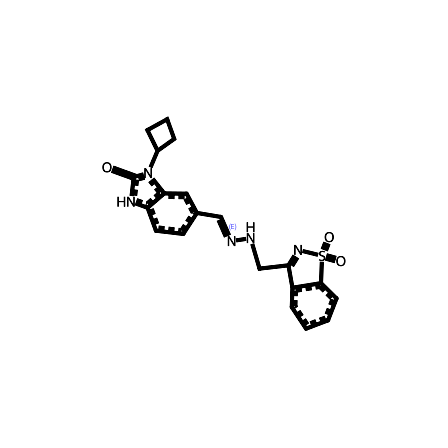 O=c1[nH]c2ccc(/C=N/NCC3=NS(=O)(=O)c4ccccc43)cc2n1C1CCC1